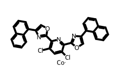 Clc1cc(Cl)c(-c2nc(-c3cccc4ccccc34)co2)nc1-c1nc(-c2cccc3ccccc23)co1.[Co]